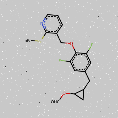 CCCSc1ncccc1COc1c(F)cc(CC2CC2OC=O)cc1F